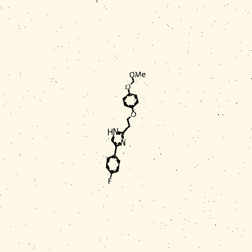 COCOc1ccc(OCCc2nc(-c3ccc(F)cc3)c[nH]2)cc1